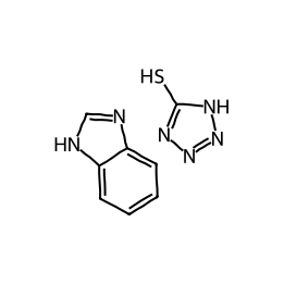 Sc1nnn[nH]1.c1ccc2[nH]cnc2c1